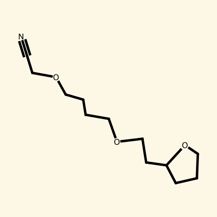 N#CCOCCCCOCCC1CCCO1